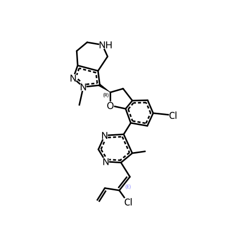 C=C/C(Cl)=C\c1ncnc(-c2cc(Cl)cc3c2O[C@@H](c2c4c(nn2C)CCNC4)C3)c1C